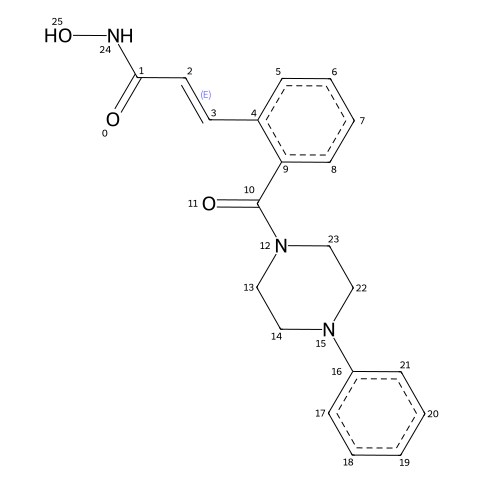 O=C(/C=C/c1ccccc1C(=O)N1CCN(c2ccccc2)CC1)NO